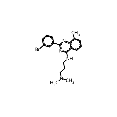 Cc1cccc2c(NCCCN(C)C)nc(-c3cccc(Br)c3)nc12